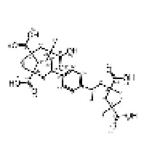 CC(CC(C)(CC(C)(C)C(=O)O)C(=O)O)c1ccc(C(C)CC(C)(CC(C)(CC(C)(C)C(=O)O)C(=O)O)C(=O)O)cc1